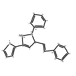 C(=CC1C=C(c2cccs2)NN1c1ccccc1)c1ccccc1